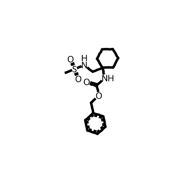 CS(=O)(=O)NCC1(NC(=O)OCc2ccccc2)CCCCC1